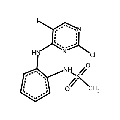 CS(=O)(=O)Nc1ccccc1Nc1nc(Cl)ncc1I